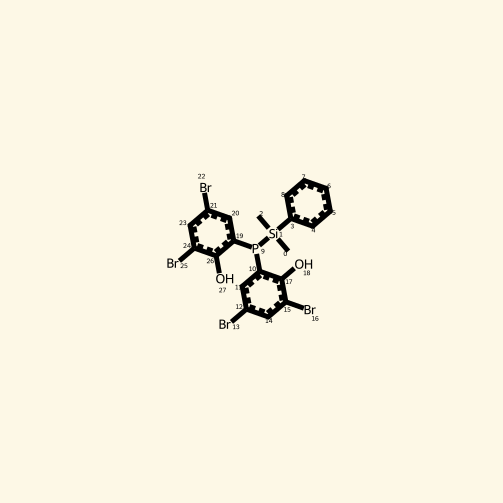 C[Si](C)(c1ccccc1)P(c1cc(Br)cc(Br)c1O)c1cc(Br)cc(Br)c1O